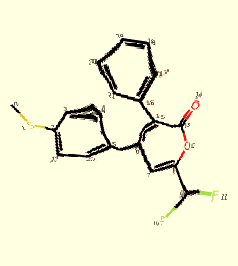 CSc1ccc(-c2cc(C(F)F)oc(=O)c2-c2ccccc2)cc1